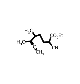 C=C=C(C)C(C)CCC(C#N)C(=O)OCC